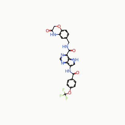 O=C1COc2ccc(CNC(=O)c3ncnc4c(NC(=O)c5ccc(OC(F)(F)F)cc5)c[nH]c34)cc2N1